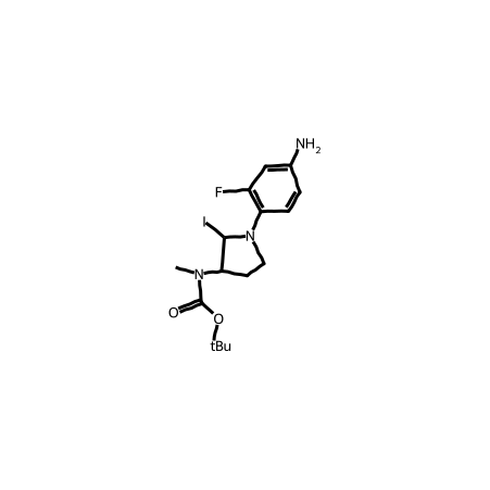 CN(C(=O)OC(C)(C)C)C1CCN(c2ccc(N)cc2F)C1I